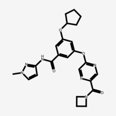 Cn1ccc(NC(=O)c2cc(Oc3cnc(C(=O)N4CCC4)cn3)cc(OC3CCCC3)c2)n1